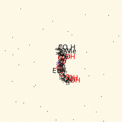 CC[C@@]1([C@]2(C)O[C@@H]([C@H]3O[C@@](O)(CO)[C@H](C)C[C@@H]3C)C[C@@H]2C)CC[C@](I)([C@]2(C)CC[C@]3(C[C@H](O)[C@@H](C)[C@@H]([C@@H](C)[C@@H](OC)C(C)C(=O)O)O3)O2)O1